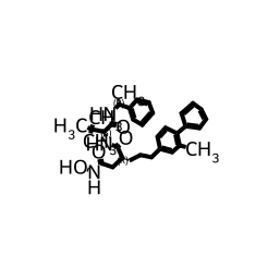 Cc1cc(CCC[C@H](CC(=O)NO)C(=O)N[C@H](C(=O)N[C@H](C)c2ccccc2)C(C)(C)C)ccc1-c1ccccc1